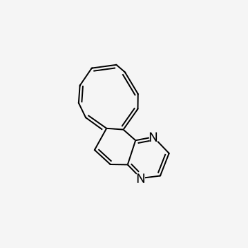 c1ccccc2c(ccc1)ccc1nccnc12